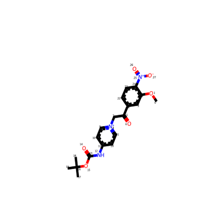 COc1cc(C(=O)C[n+]2ccc(NC(=O)OC(C)(C)C)cc2)ccc1[N+](=O)[O-]